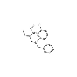 C=CN/C(=C\C)CN(Cc1ccccc1)c1cccc(Cl)c1